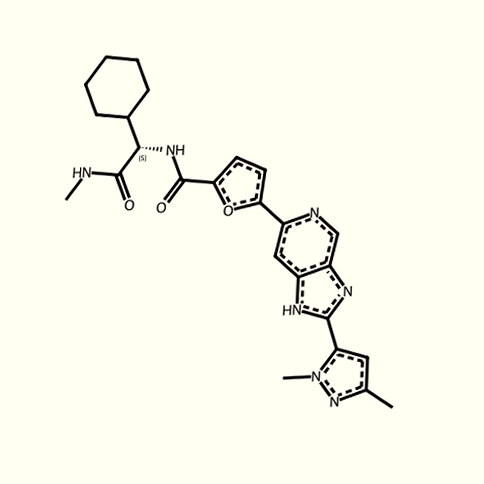 CNC(=O)[C@@H](NC(=O)c1ccc(-c2cc3[nH]c(-c4cc(C)nn4C)nc3cn2)o1)C1CCCCC1